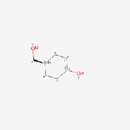 OC[C@H]1CC=C(O)CC1